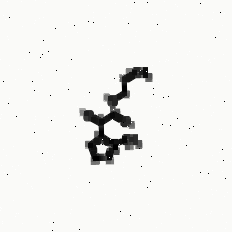 C=CCOC(=O)C(=O)c1cccn1C